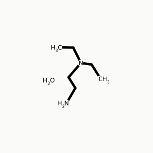 CCN(CC)CCN.O